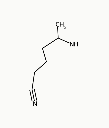 CC([NH])CCCC#N